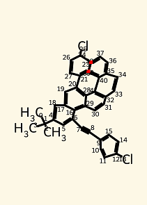 CC(C)(C)c1cc(C#Cc2ccc(Cl)cc2)c2c(c1)cc(C1=CCC(Cl)C=C1)c1c2ccc2ccc3ccccc3c21